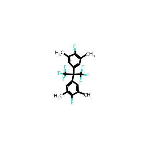 Cc1cc(C(c2cc(C)c(F)c(C)c2)(C(F)(F)F)C(F)(F)F)cc(C)c1F